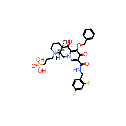 C[C@]12CCCN(CCCP(=O)(O)O)[C@H]1Cn1cc(C(=O)NCc3ccc(F)cc3F)c(=O)c(OCc3ccccc3)c1C2=O